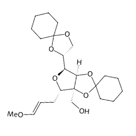 CO/C=C/C[C@@H]1O[C@@H]([C@H]2COC3(CCCCC3)O2)[C@H]2OC3(CCCCC3)O[C@@]12CO